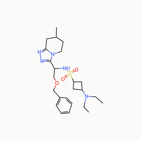 CCN(CC)C1CC(S(=O)(=O)NC(COCc2ccccc2)c2nnc3n2CCC(C)C3)C1